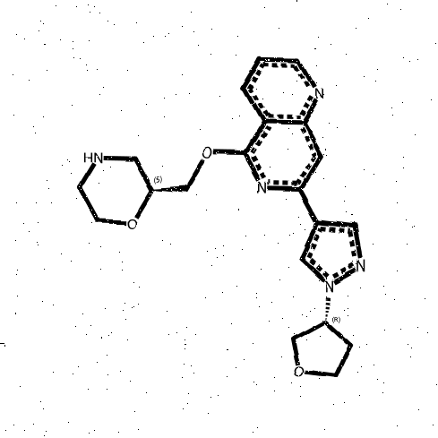 c1cnc2cc(-c3cnn([C@@H]4CCOC4)c3)nc(OC[C@@H]3CNCCO3)c2c1